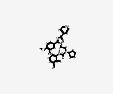 COc1ccc(-c2nc(-c3ccncc3)nn2CCN(C(=O)Nc2cccc(C)c2C)C2CCCC2)cc1Cl